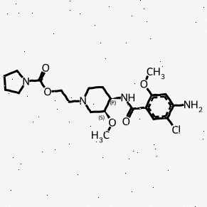 COc1cc(N)c(Cl)cc1C(=O)N[C@@H]1CCN(CCOC(=O)N2CCCC2)C[C@@H]1OC